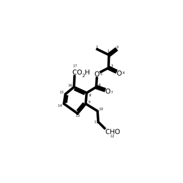 C=C(C)C(=O)OC(=O)c1c(CCC=O)cccc1C(=O)O